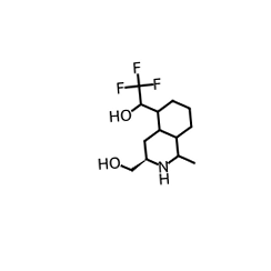 CC1N[C@@H](CO)CC2C1CCCC2C(O)C(F)(F)F